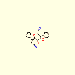 N#CCc1c(C(=O)c2oc3ccccc3c2CC#N)oc2ccccc12